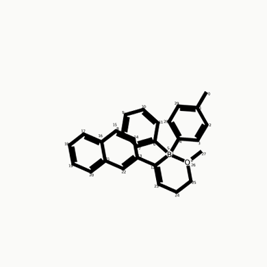 Cc1ccc([B-]2(c3ccccc3)C(c3ccc4ccccc4c3)=CCC[O+]2C)cc1